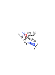 C=C(C)N1CCC2(CC(C)=NO2)C(CC)C1